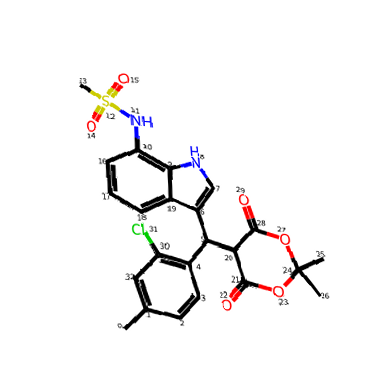 Cc1ccc(C(c2c[nH]c3c(NS(C)(=O)=O)cccc23)C2C(=O)OC(C)(C)OC2=O)c(Cl)c1